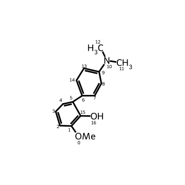 COc1cccc(-c2ccc(N(C)C)cc2)c1O